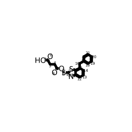 O=C(O)CCC(=O)OSc1nc2cccc(Cc3ccccc3)c2s1